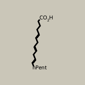 CCCCCC=CCC=CCC=CCCCC(=O)O